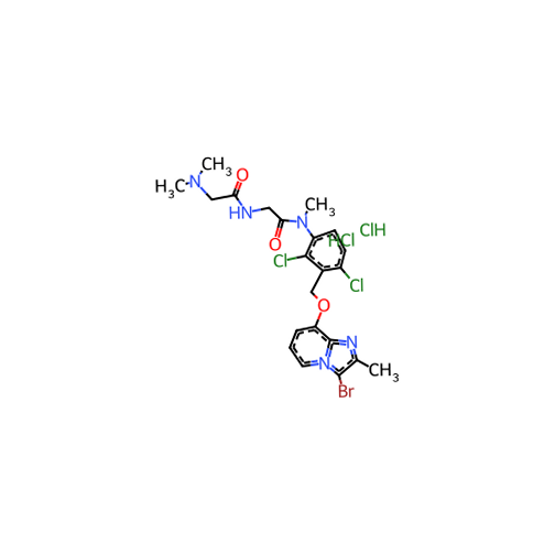 Cc1nc2c(OCc3c(Cl)ccc(N(C)C(=O)CNC(=O)CN(C)C)c3Cl)cccn2c1Br.Cl.Cl